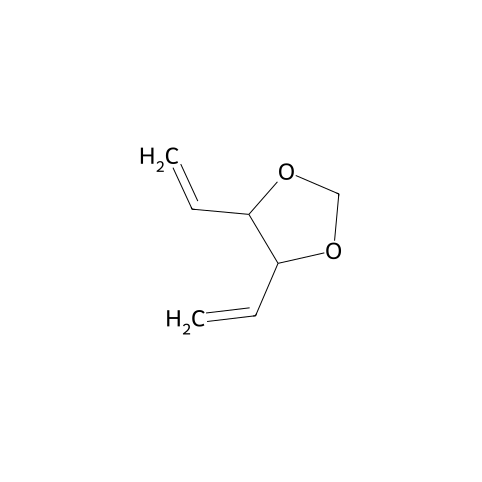 C=CC1OCOC1C=C